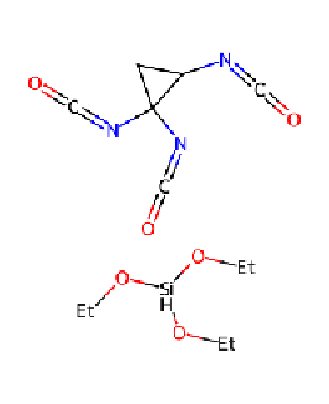 CCO[SiH](OCC)OCC.O=C=NC1CC1(N=C=O)N=C=O